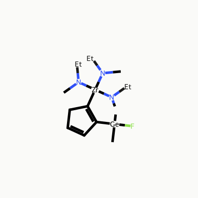 CC[N](C)[Zr]([C]1=[C]([Ge]([CH3])([CH3])[F])C=CC1)([N](C)CC)[N](C)CC